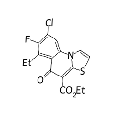 CCOC(=O)c1c(=O)c2c(CC)c(F)c(Cl)cc2n2ccsc12